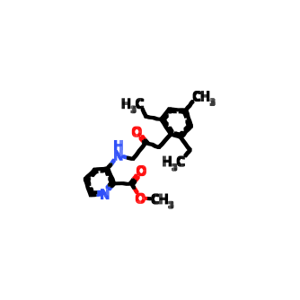 CCc1cc(C)cc(CC)c1CC(=O)CNc1cccnc1C(=O)OC